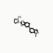 Cn1ncc2cc(-c3ccc4oc([C@@H]5CCCN5C#N)nc4c3)ccc21